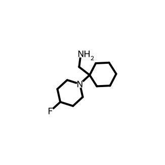 NCC1(N2CCC(F)CC2)CCCCC1